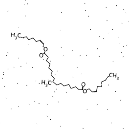 CCCCCC/C=C\COC(=O)CCCCCCCC(C)CCCCCCCC(=O)OC/C=C\CCCCCC